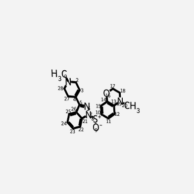 CN1CC=C(c2nn([S+]([O-])c3ccc4c(c3)OCCN4C)c3ccccc23)CC1